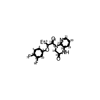 CCC(Oc1ccc(F)c(F)c1)C(=O)N1CC(=O)Nc2cccnc21